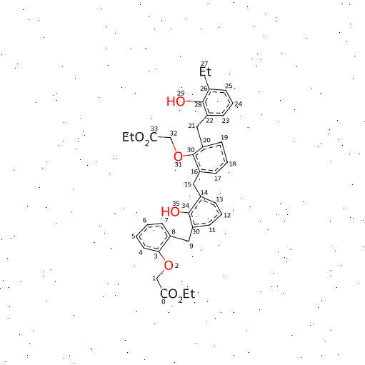 CCOC(=O)COc1ccccc1Cc1cccc(Cc2cccc(Cc3cccc(CC)c3O)c2OCC(=O)OCC)c1O